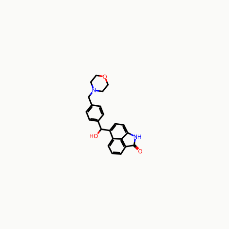 O=C1Nc2ccc(C(O)c3ccc(CN4CCOCC4)cc3)c3cccc1c23